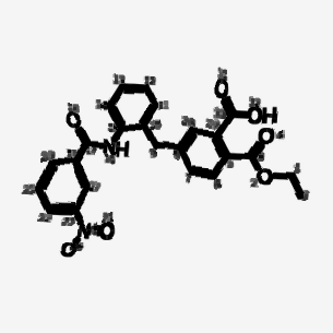 CCOC(=O)c1ccc(Cc2ccccc2NC(=O)c2cccc([N+](=O)[O-])c2)cc1C(=O)O